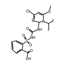 COC1=NC(Cl)=NC(NC(=O)NS(=O)(=O)c2ccccc2C(=O)O)N1C(F)F